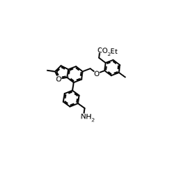 CCOC(=O)Cc1ccc(C)cc1OCc1cc(-c2cccc(CN)c2)c2oc(C)cc2c1